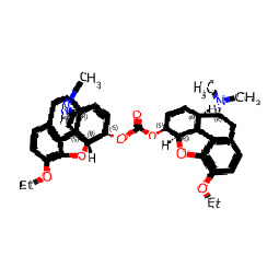 CCOc1ccc2c3c1O[C@@H]1C3[C@@H](C=C[C@@H]1OC(=O)O[C@H]1C=C[C@H]3C4Cc5ccc(OCC)c6c5[C@@]3(CCN4C)[C@H]1O6)[C@H](N(C)C)C2